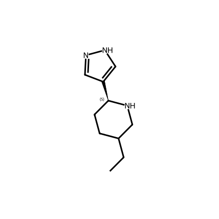 CCC1CC[C@@H](c2cn[nH]c2)NC1